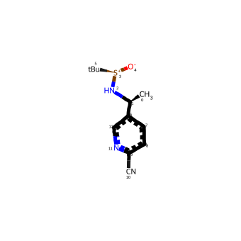 C[C@H](N[S@+]([O-])C(C)(C)C)c1ccc(C#N)nc1